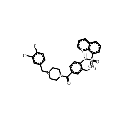 C[SH](=O)(Nc1ccc(C(=O)N2CCN(Cc3ccc(F)c(Cl)c3)CC2)cc1F)c1cccc2cccnc12